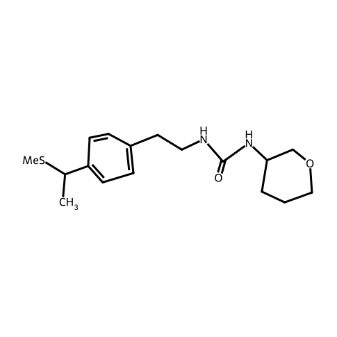 CSC(C)c1ccc(CCNC(=O)NC2CCCOC2)cc1